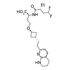 CC[C@H](CC(F)F)C(=O)N[C@@H](CCO[C@H]1C[C@H](CCc2ccc3c(n2)NCCC3)C1)C(=O)O